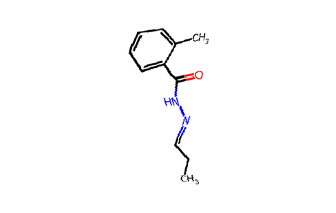 CC/C=N/NC(=O)c1ccccc1C